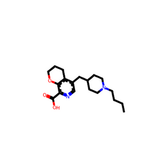 CCCCN1CCC(Cc2cnc(C(=O)O)c3c2CCCO3)CC1